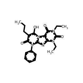 CCCc1c(O)n2c3c(=O)n(CC)c(=O)n(CC)c3nc2n(-c2ccccc2)c1=O